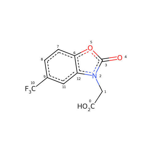 O=C(O)Cn1c(=O)oc2ccc(C(F)(F)F)cc21